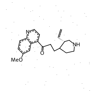 C=C[C@@H]1CNCCC1CCC(=O)c1ccnc2ccc(OC)cc12